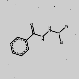 CCN(CC)NNC(=O)c1ccccc1